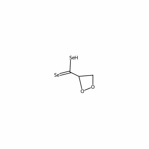 [Se]=C([SeH])C1COO1